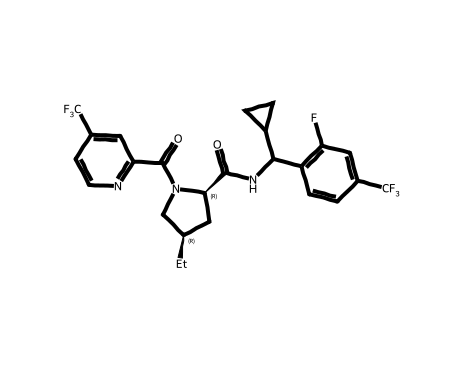 CC[C@@H]1C[C@H](C(=O)NC(c2ccc(C(F)(F)F)cc2F)C2CC2)N(C(=O)c2cc(C(F)(F)F)ccn2)C1